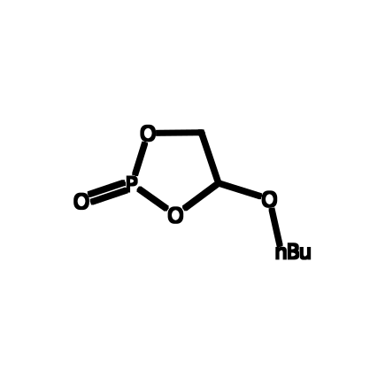 CCCCOC1CO[P](=O)O1